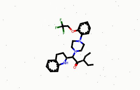 CCC(CC)C(=O)C(C1CCc2ccccc2N1)N1CCN(c2ccccc2OCC(F)(F)F)CC1